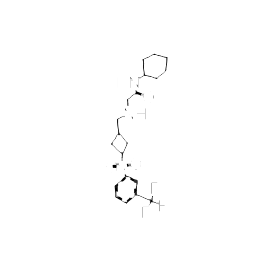 O=C(CNCC1CC(S(=O)(=O)c2cccc(C(F)(F)F)c2)C1)NC1CCCCC1